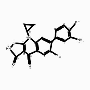 Nc1cc(-c2cc3c(cc2F)c(=O)c2c(=O)[nH]sc2n3C2CC2)ccc1F